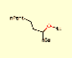 CCCCCCCC(CCCC)OCC